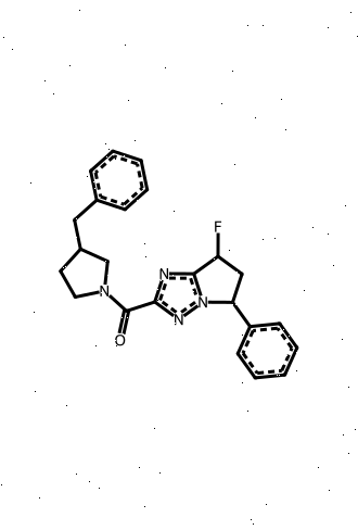 O=C(c1nc2n(n1)C(c1ccccc1)CC2F)N1CCC(Cc2ccccc2)C1